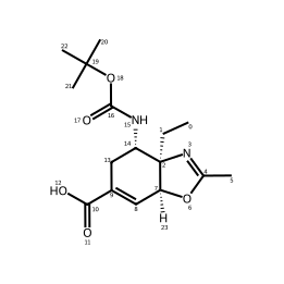 CC[C@]12N=C(C)O[C@H]1C=C(C(=O)O)C[C@@H]2NC(=O)OC(C)(C)C